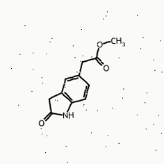 COC(=O)Cc1ccc2c(c1)CC(=O)N2